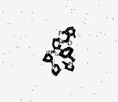 Cc1cccc(F)c1C(=O)N1CCC[C@H](C(=O)Nc2cccc(N3CCCC3)c2)[C@@H]1c1ccc(CN2CCCC2C)cc1